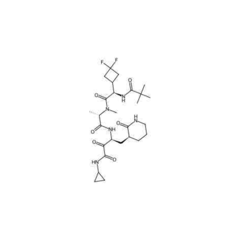 C[C@@H](C(=O)N[C@@H](C[C@@H]1CCCNC1=O)C(=O)C(=O)NC1CC1)N(C)C(=O)[C@H](NC(=O)C(C)(C)C)C1CC(F)(F)C1